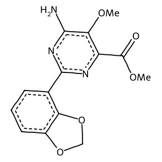 COC(=O)c1nc(-c2cccc3c2OCO3)nc(N)c1OC